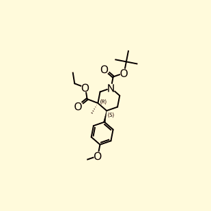 CCOC(=O)[C@@]1(C)CN(C(=O)OC(C)(C)C)CC[C@H]1c1ccc(OC)cc1